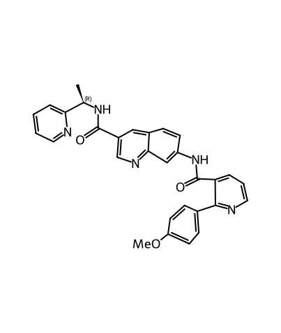 COc1ccc(-c2ncccc2C(=O)Nc2ccc3cc(C(=O)N[C@H](C)c4ccccn4)cnc3c2)cc1